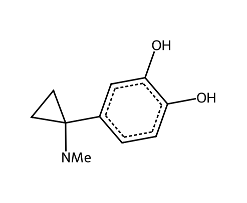 CNC1(c2ccc(O)c(O)c2)CC1